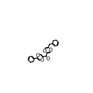 O=C(C1=COC(CC2=CC=CCC2)=CO1)C1=COC(C2=CC=CCC2)=CO1